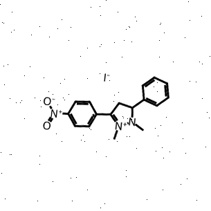 CN1C(c2ccccc2)CC(c2ccc([N+](=O)[O-])cc2)=[N+]1C.[I-]